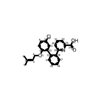 CC(C)=CCOc1ccc(Cl)cc1-c1ccccc1-c1cccc(C(=O)O)n1